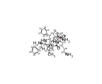 CC(C)CC(NC(=O)C(Cc1ccccc1)NC(=O)C(N)Cc1ccccc1)C(=O)NC(CCCCN)C(=O)N1C2CCC1CC(N)C2